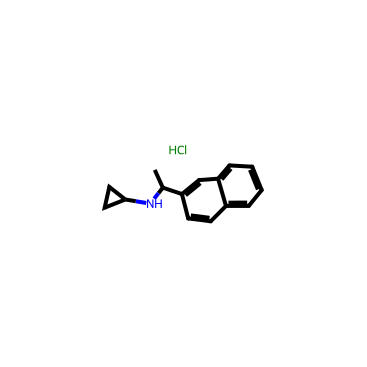 CC(NC1CC1)c1ccc2ccccc2c1.Cl